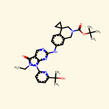 CCn1c(=O)c2cnc(Nc3ccc4c(c3)CN(C(=O)OC(C)(C)C)CC43CC3)nc2n1-c1cccc(C(C)(C)O)n1